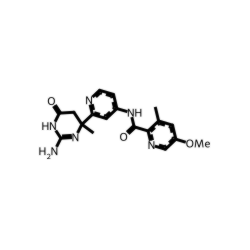 COc1cnc(C(=O)Nc2ccnc(C3(C)CC(=O)NC(N)=N3)c2)c(C)c1